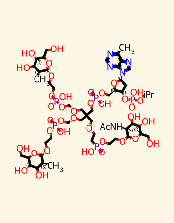 CC(=O)N[C@H]1C(O)[C@@H](O)C(CO)O[C@H]1OCCOP(=O)(O)CCOCC(COCOP(=O)(O)OCCO[C@@H]1OC(CO)[C@H](O)C(O)[C@@H]1C)(COCOP(=O)(O)OCCO[C@@H]1OC(CO)[C@H](O)C(O)[C@@H]1C)COP(=O)(O)OC[C@H]1O[C@@H](n2cnc3c(C)ncnc32)C[C@@H]1OP(=O)(O)OC(C)C